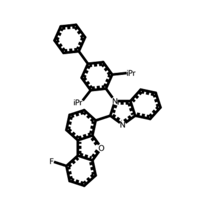 CC(C)c1cc(-c2ccccc2)cc(C(C)C)c1-n1c(-c2cccc3c2oc2cccc(F)c23)nc2ccccc21